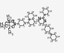 CC1(C)OB(c2ccc(-c3ccc(-c4cc(-c5ccc(-c6ccccc6)cc5)nc(-c5ccccc5)n4)c4ccccc34)cc2)OC1(C)C